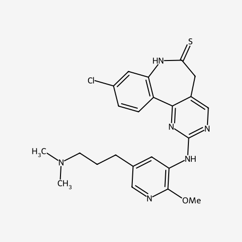 COc1ncc(CCCN(C)C)cc1Nc1ncc2c(n1)-c1ccc(Cl)cc1NC(=S)C2